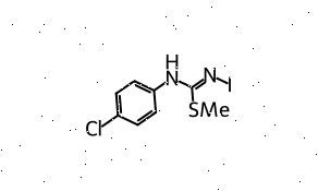 CS/C(=N\I)Nc1ccc(Cl)cc1